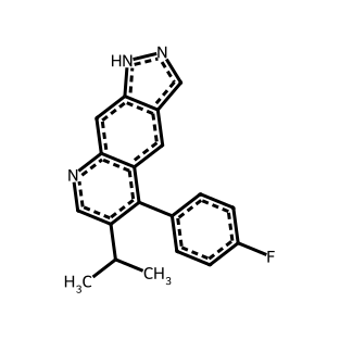 CC(C)c1cnc2cc3[nH]ncc3cc2c1-c1ccc(F)cc1